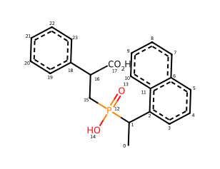 CC(c1cccc2ccccc12)P(=O)(O)CC(C(=O)O)c1ccccc1